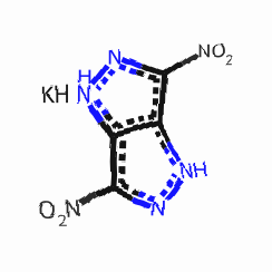 O=[N+]([O-])c1n[nH]c2c([N+](=O)[O-])n[nH]c12.[KH]